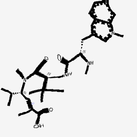 CN[C@@H](Cc1cn(C)c2ccccc12)C(=O)N[C@H](C(=O)N(C)[C@H](/C=C(\C)C(=O)O)C(C)C)C(C)(C)C